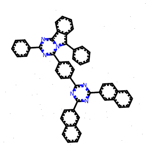 c1ccc(-c2nc(-c3ccc(-c4nc(-c5ccc6ccccc6c5)nc(-c5ccc6ccccc6c5)n4)cc3)n3c(-c4ccccc4)c4ccccc4c3n2)cc1